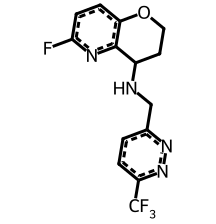 Fc1ccc2c(n1)C(NCc1ccc(C(F)(F)F)nn1)CCO2